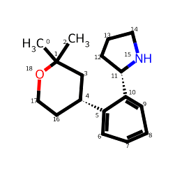 CC1(C)C[C@H](c2ccccc2[C@@H]2CCCN2)CCO1